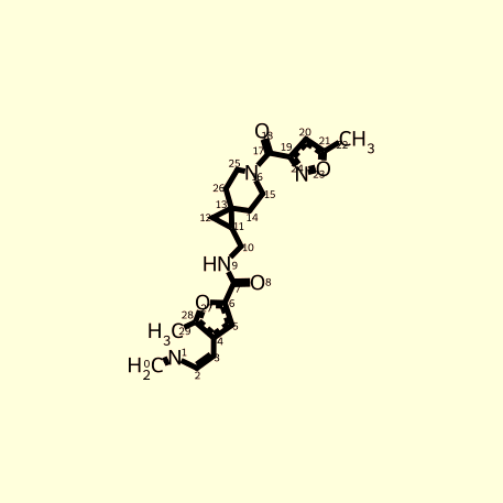 C=N/C=C\c1cc(C(=O)NCC2CC23CCN(C(=O)c2cc(C)on2)CC3)oc1C